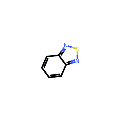 c1ccc2nsnc2c1